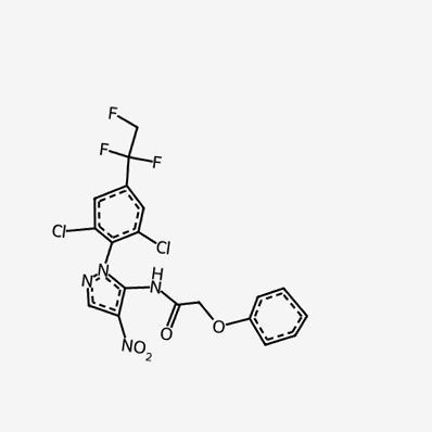 O=C(COc1ccccc1)Nc1c([N+](=O)[O-])cnn1-c1c(Cl)cc(C(F)(F)CF)cc1Cl